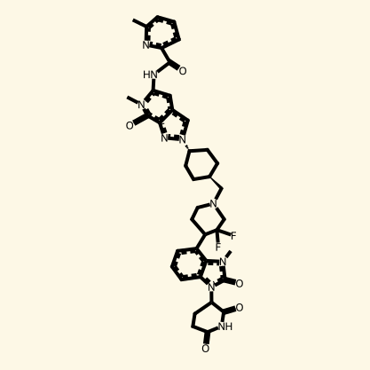 Cc1cccc(C(=O)Nc2cc3cn([C@H]4CC[C@H](CN5CCC(c6cccc7c6n(C)c(=O)n7C6CCC(=O)NC6=O)C(F)(F)C5)CC4)nc3c(=O)n2C)n1